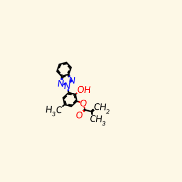 C=C(C)C(=O)Oc1cc(C)cc(-n2nc3ccccc3n2)c1O